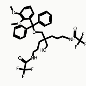 COc1cccc(C(OCC(CO)(CCCNC(=O)C(F)(F)F)CCCNC(=O)C(F)(F)F)(c2ccccc2)c2ccccc2)c1OC